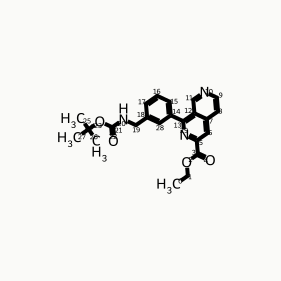 CCOC(=O)c1cc2ccncc2c(-c2cccc(CNC(=O)OC(C)(C)C)c2)n1